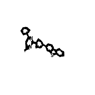 Ic1cc(-c2ccccc2)nc(-c2ccc(-c3ccc4c(c3)sc3ccccc34)cc2)n1